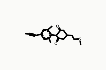 CC#Cc1cc(C)c(C2C(=O)CC(CCSC)CC2=O)c(C)c1